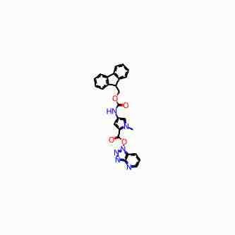 Cn1cc(NC(=O)OCC2c3ccccc3-c3ccccc32)cc1C(=O)On1nnc2ncccc21